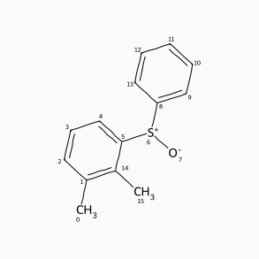 Cc1cccc([S+]([O-])c2ccccc2)c1C